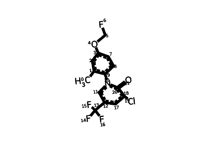 Cc1cc(OCF)ccc1-n1cc(C(F)(F)F)cc(Cl)c1=O